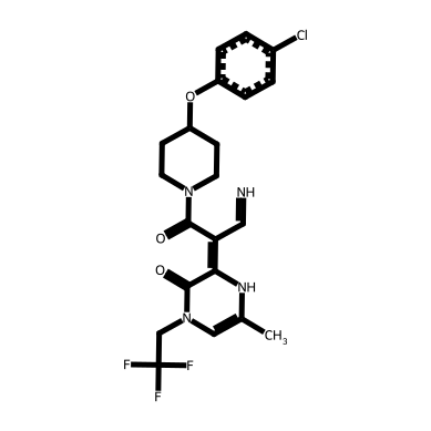 CC1=CN(CC(F)(F)F)C(=O)/C(=C(/C=N)C(=O)N2CCC(Oc3ccc(Cl)cc3)CC2)N1